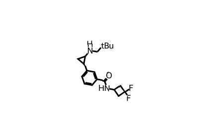 CC(C)(C)CNC1CC1c1cccc(C(=O)NC2CC(F)(F)C2)c1